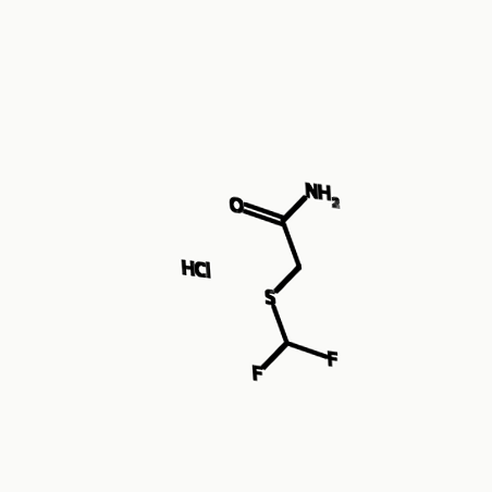 Cl.NC(=O)CSC(F)F